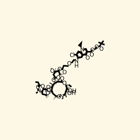 CCC(=O)O[C@H]1C(O[C@@H]2[C@@H](C)[C@H](O[C@H]3C[C@@](C)(OC)[C@@H](OC(=O)CCOCCNc4cc5c(=O)c(C(=O)OCOC(=O)C(C)(C)C)cn(C6CC6)c5cc4Cl)[C@H](C)O3)[C@@H](C)C(=O)O[C@H](CC)[C@@](C)(O)[C@H](O)[C@@H](C)N(C)C[C@H](C)C[C@@]2(C)O)O[C@H](C)C[C@@H]1N(C)C